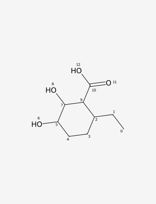 CCC1CCC(O)C(O)C1C(=O)O